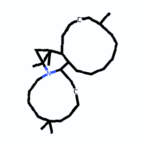 CC1CCCCCCC2C3CCCCCC(C)(C)CCCCN3C3(C)CC3(C)C2CCCC1